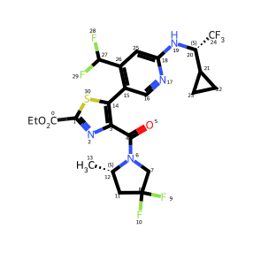 CCOC(=O)c1nc(C(=O)N2CC(F)(F)C[C@@H]2C)c(-c2cnc(N[C@@H](C3CC3)C(F)(F)F)cc2C(F)F)s1